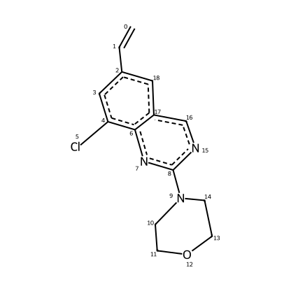 C=Cc1cc(Cl)c2nc(N3CCOCC3)ncc2c1